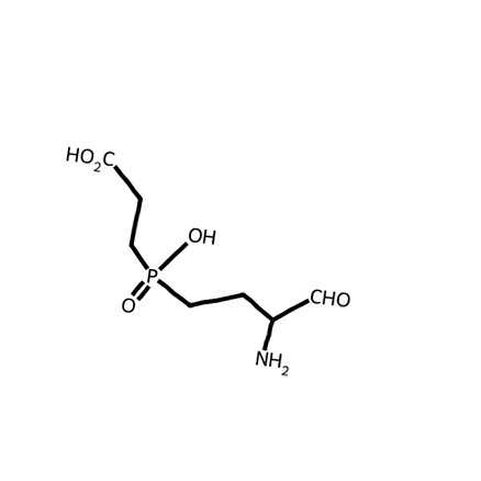 NC(C=O)CCP(=O)(O)CCC(=O)O